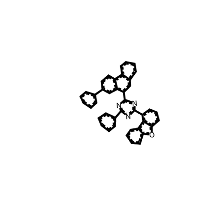 c1ccc(-c2ccc3c(c2)c(-c2nc(-c4ccccc4)nc(-c4cccc5oc6ccccc6c45)n2)cc2ccccc23)cc1